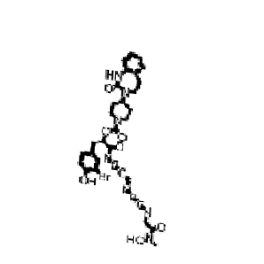 CN(O)C(=O)CN=C=C=NC=C=C=NC(=O)[C@@H](Cc1ccc(O)c(Br)c1)OC(=O)N1CCC(N2CCc3ccccc3NC2=O)CC1